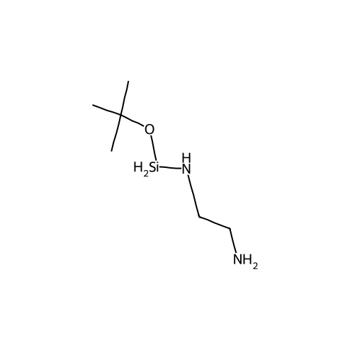 CC(C)(C)O[SiH2]NCCN